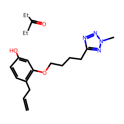 C=CCc1ccc(O)cc1OCCCCc1nnn(C)n1.CCC(=O)CC